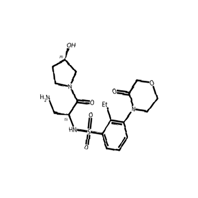 CCc1c(N2CCOCC2=O)cccc1S(=O)(=O)N[C@@H](CN)C(=O)N1CC[C@@H](O)C1